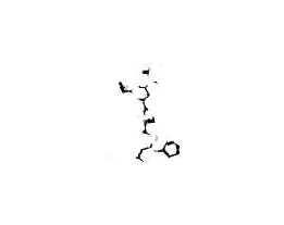 C=CCOC(CC(C(C)C)N(C)C(=O)CCCC)c1nc(C(=O)N[C@@H](Cc2ccccc2)CC(C)C(=O)O)cs1